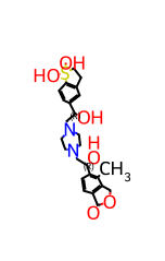 Cc1c([C@@H](O)CN2CCN(C[C@H](O)c3ccc4c(c3)CCS4(O)O)CC2)ccc2c1COC2=O